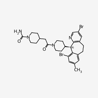 Cc1cc(Br)c2c(c1)CCc1cc(Br)cnc1[C@@H]2C1CCN(C(=O)CC2CCN(C(N)=O)CC2)CC1